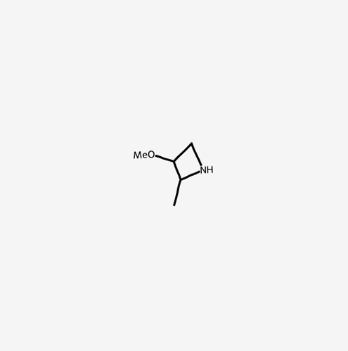 COC1CNC1C